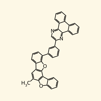 Cc1cc2c3cccc(-c4cccc(-c5cnc6c7ccccc7c7ccccc7c6n5)c4)c3oc2c2c1oc1ccccc12